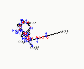 CC(=O)N[C@H]1CCC(=O)NCCC[C@@H](C(=O)N2CCC[C@H]2C(=O)N2CCC[C@H]2C(=O)N[C@@H](CC(=O)O)C(=O)N[C@@H](CCCCN(CC(=O)O)CC(=O)O)C(=O)N[C@@H](CCCCNC(=O)COCCOCCNC(=O)CCCCCCCCCCCCCCC(=O)O)C(N)=O)NC(=O)[C@H](Cc2c[nH]c3ccccc23)NC(=O)[C@H](CCCNC(=N)N)NC(=O)[C@@H](Cc2ccccc2)NC(=O)[C@H](Cc2c[nH]cn2)NC1=O